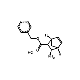 Cl.N[C@H]1[C@@H](C(=O)OCc2ccccc2)[C@@H]2C=C[C@H]1C2